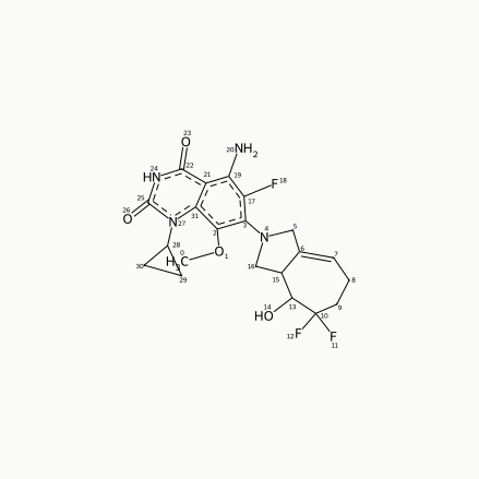 COc1c(N2CC3=CCCC(F)(F)C(O)C3C2)c(F)c(N)c2c(=O)[nH]c(=O)n(C3CC3)c12